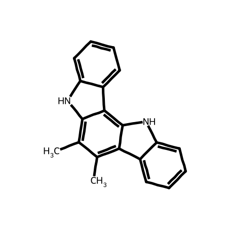 Cc1c(C)c2c3ccccc3[nH]c2c2c1[nH]c1ccccc12